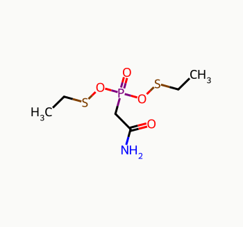 CCSOP(=O)(CC(N)=O)OSCC